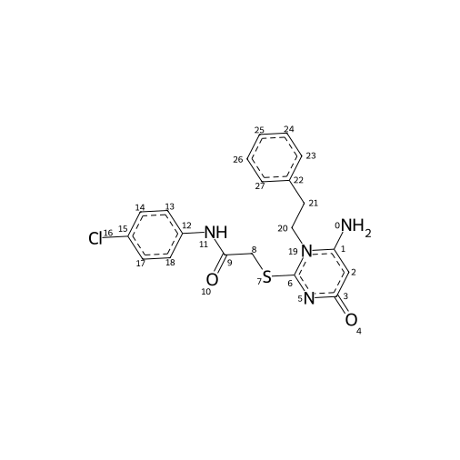 Nc1cc(=O)nc(SCC(=O)Nc2ccc(Cl)cc2)n1CCc1ccccc1